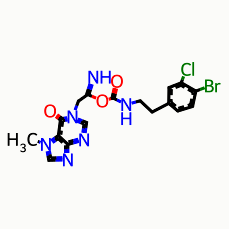 Cn1cnc2ncn(CC(=N)OC(=O)NCCc3ccc(Br)c(Cl)c3)c(=O)c21